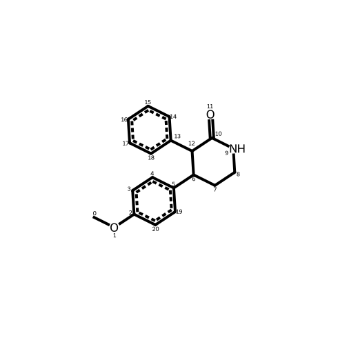 COc1ccc(C2CCNC(=O)C2c2ccccc2)cc1